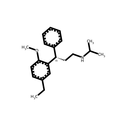 CCc1ccc(OC)c([C@@H](CCNC(C)C)c2ccccc2)c1